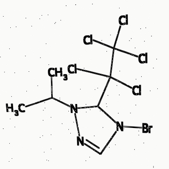 CC(C)N1N=CN(Br)C1C(Cl)(Cl)C(Cl)(Cl)Cl